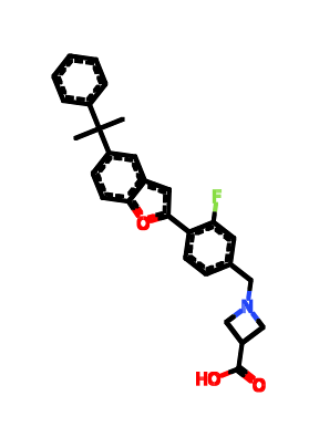 CC(C)(c1ccccc1)c1ccc2oc(-c3ccc(CN4CC(C(=O)O)C4)cc3F)cc2c1